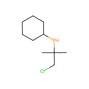 CC(C)(CCl)PC1CCCCC1